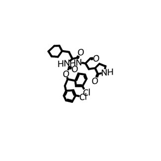 O=CC(CC1CCNC1=O)NC(=O)C(CC1CCCCC1)NC(=O)OC(Cc1cccc(Cl)c1)c1cccc(Cl)c1